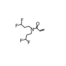 C=CC(=O)N(CCC(F)F)CCC(F)F